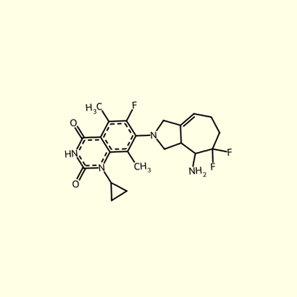 Cc1c(F)c(N2CC3=CCCC(F)(F)C(N)C3C2)c(C)c2c1c(=O)[nH]c(=O)n2C1CC1